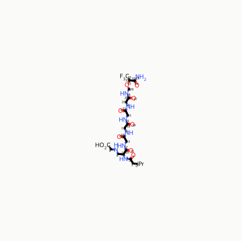 CC(C)CC(=O)NC(CNCC(=O)O)C(=O)NCC(=O)NCC(=O)NCC(=O)NCC(=O)NCOC(C(N)=O)C(F)(F)F